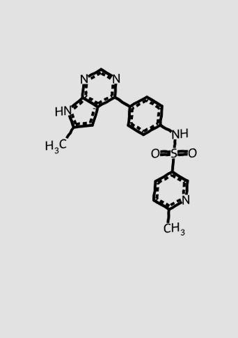 Cc1ccc(S(=O)(=O)Nc2ccc(-c3ncnc4[nH]c(C)cc34)cc2)cn1